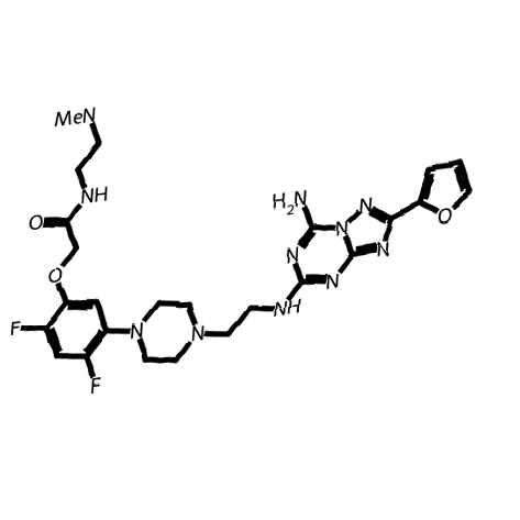 CNCCNC(=O)COc1cc(N2CCN(CCNc3nc(N)n4nc(-c5ccco5)nc4n3)CC2)c(F)cc1F